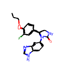 CCCOc1ccc(C2CNC(=O)N2c2ccc3[nH]cnc3c2)cc1F